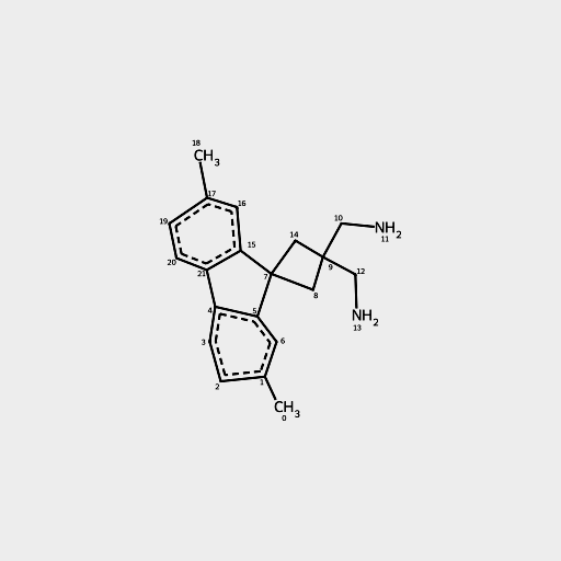 Cc1ccc2c(c1)C1(CC(CN)(CN)C1)c1cc(C)ccc1-2